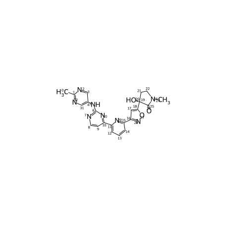 Cc1ncc(Nc2nccc(-c3cccc(-c4cc([C@]5(O)CCN(C)C5=O)on4)n3)n2)cn1